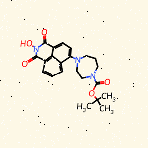 CC(C)(C)OC(=O)N1CCCN(c2ccc3c4c(cccc24)C(=O)N(O)C3=O)CC1